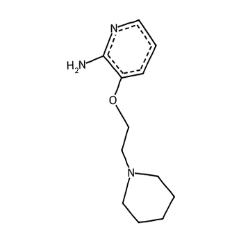 Nc1ncccc1OCCN1CCCCC1